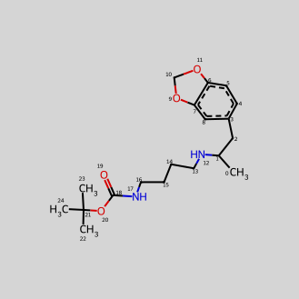 CC(Cc1ccc2c(c1)OCO2)NCCCCNC(=O)OC(C)(C)C